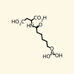 O=C(O)CC(NC(=O)CCCCCON(O)O)C(=O)O